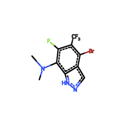 CN(C)c1c(F)c(C(F)(F)F)c(Br)c2cn[nH]c12